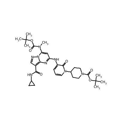 CN(C(=O)OC(C)(C)C)c1cc(Nc2cccn(C3CCN(C(=O)OC(C)(C)C)CC3)c2=O)nc2c(C(=O)NC3CC3)cnn12